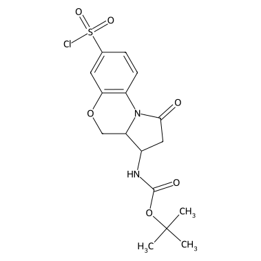 CC(C)(C)OC(=O)NC1CC(=O)N2c3ccc(S(=O)(=O)Cl)cc3OCC12